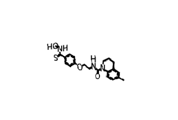 Cc1ccc2c(c1)CCCN2C(=O)NCCOc1ccc(C(=S)NO)cc1